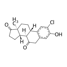 C[C@]12CC[C@@H]3c4cc(Cl)c(O)cc4CC(=O)[C@H]3[C@@H]1CCC2=O